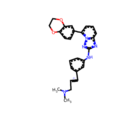 CN(C)C/C=C/c1cccc(Nc2nc3cccc(-c4ccc5c(c4)OCCO5)n3n2)c1